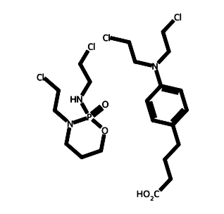 O=C(O)CCCc1ccc(N(CCCl)CCCl)cc1.O=P1(NCCCl)OCCCN1CCCl